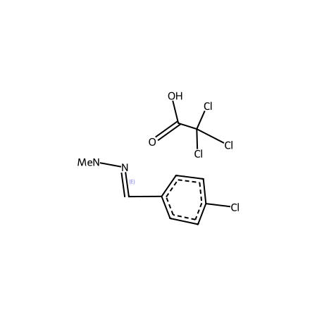 CN/N=C/c1ccc(Cl)cc1.O=C(O)C(Cl)(Cl)Cl